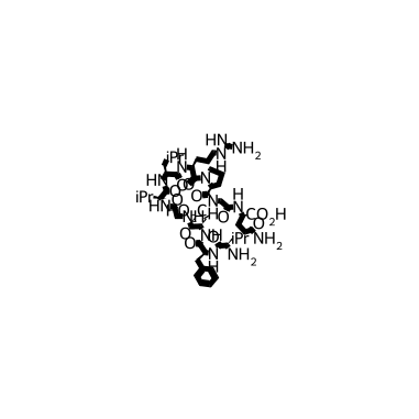 CC(C)C[C@H](NC(=O)[C@@H](NC(=O)CNC(=O)[C@H](CC(=O)O)NC(=O)[C@H](Cc1ccccc1)NC(=O)[C@@H](N)C(C)C)C(C)C)C(=O)N[C@@H](CCCNC(=N)N)C(=O)N1CCC[C@H]1C(=O)NCC(=O)N[C@@H](CCC(N)=O)C(=O)O